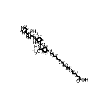 C[C@@H](NC(=O)c1cccc(NCc2nnc(-c3ccncn3)n2C)c1)c1ccc(OCCCCCCOCCOCCOCCCCCC(=O)O)cc1